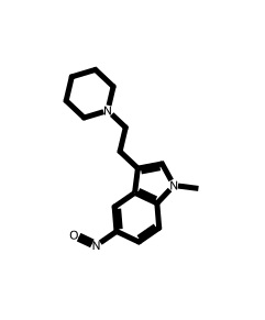 Cn1cc(CCN2CCCCC2)c2cc(N=O)ccc21